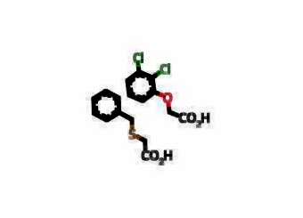 O=C(O)COc1cccc(Cl)c1Cl.O=C(O)CSCc1ccccc1